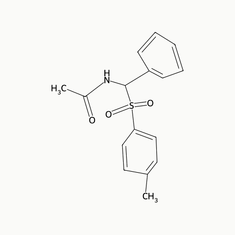 CC(=O)NC(c1ccccc1)S(=O)(=O)c1ccc(C)cc1